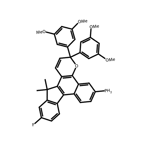 COc1cc(OC)cc(C2(c3cc(OC)cc(OC)c3)C=Cc3c4c(c5ccc(P)cc5c3O2)-c2ccc(F)cc2C4(C)C)c1